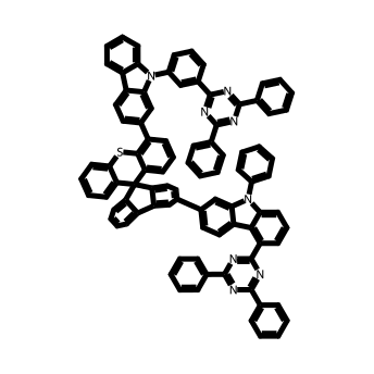 c1ccc(-c2nc(-c3ccccc3)nc(-c3cccc(-n4c5ccccc5c5ccc(-c6cccc7c6Sc6ccccc6C76c7ccccc7-c7cc(-c8ccc9c%10c(-c%11nc(-c%12ccccc%12)nc(-c%12ccccc%12)n%11)cccc%10n(-c%10ccccc%10)c9c8)ccc76)cc54)c3)n2)cc1